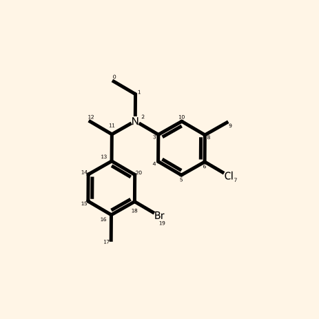 CCN(c1ccc(Cl)c(C)c1)C(C)c1ccc(C)c(Br)c1